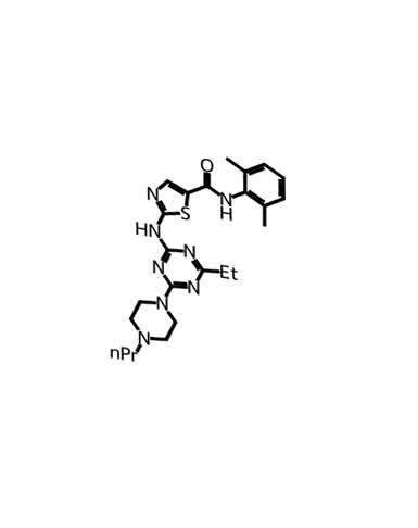 CCCN1CCN(c2nc(CC)nc(Nc3ncc(C(=O)Nc4c(C)cccc4C)s3)n2)CC1